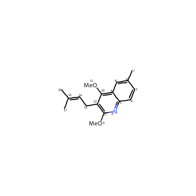 COc1nc2ccc(C)cc2c(OC)c1CC=C(C)C